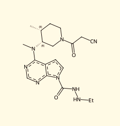 CCNNC(=O)n1ccc2c(N(C)[C@H]3CN(C(=O)CC#N)CC[C@H]3C)ncnc21